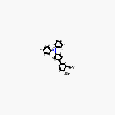 CC(C)c1ccc(-c2ccc(N(c3ccccc3)c3ccccc3)cc2)cc1C(C)C